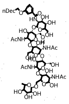 CCCCCCCCCCCOc1cccc(C(=O)N[C@@H]2C(O[C@H]3C(O)C(NC(C)=O)C(OC4C(CO)O[C@@H](O[C@H]5C(O)C(NC(C)=O)C(OC6C(CO[C@@H]7OC(C)C(O)[C@H](O)[C@H]7O)OC(O)[C@@H](NC(C)=O)[C@H]6O)O[C@H]5CO)[C@@H](NC(C)=O)[C@H]4O)O[C@H]3CO)OC(CO)[C@@H](O)[C@@H]2O)c1